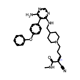 CNC(=O)/C(C#N)=C\CCN1CCC(CNc2ncnc(N)c2-c2ccc(Oc3ccccc3)cc2)CC1